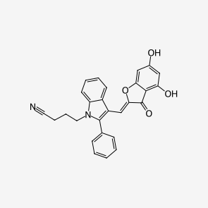 N#CCCCn1c(-c2ccccc2)c(C=C2Oc3cc(O)cc(O)c3C2=O)c2ccccc21